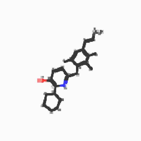 Cc1cc(C=CC(=O)O)c(C)c(C)c1Cc1ccc(O)c(C2CCCCC2)n1